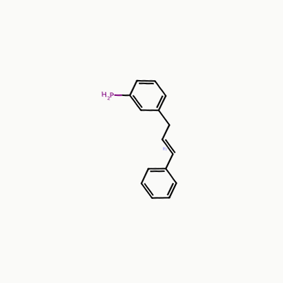 Pc1cccc(C/C=C/c2ccccc2)c1